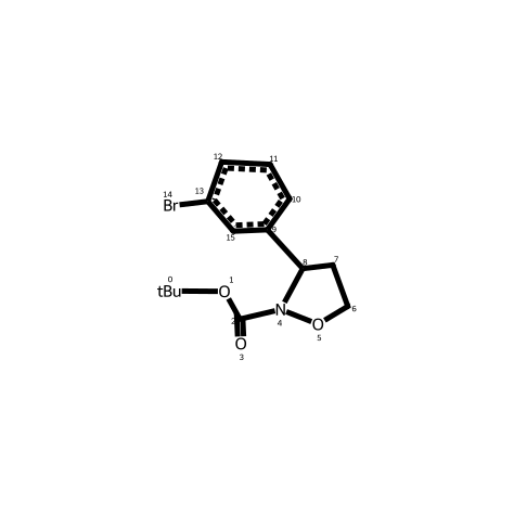 CC(C)(C)OC(=O)N1OCCC1c1cccc(Br)c1